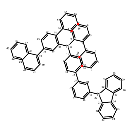 c1ccc(-c2ccccc2N(c2ccc(-c3cccc(-n4c5ccccc5c5ccccc54)c3)cc2)c2cc(-c3cccc4ccccc34)ccc2-c2ccccc2)cc1